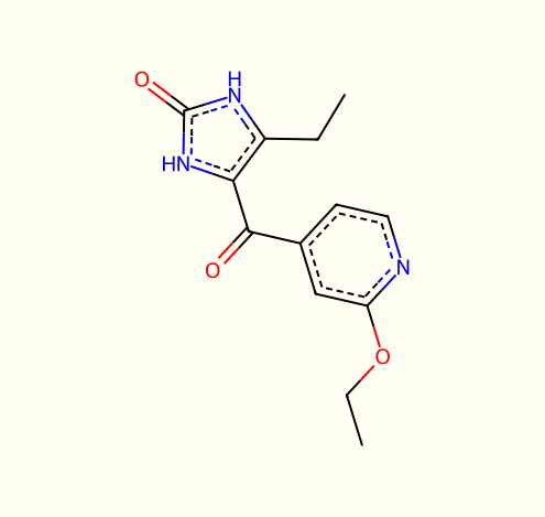 CCOc1cc(C(=O)c2[nH]c(=O)[nH]c2CC)ccn1